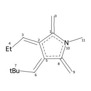 C=c1c(=C/CC)/c(=C\C(C)(C)C)c(=C)n1C